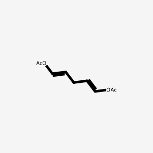 CC(=O)O/C=C/C/C=C/OC(C)=O